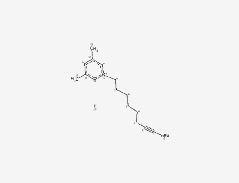 CCCCC#CCCCCCC[n+]1cc(C)cc(C)c1.[I-]